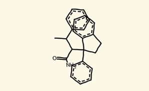 CC(c1ccccc1)C(C(N)=O)C1(c2ccccc2)CCc2ccccc21